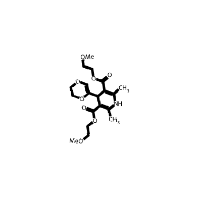 COCCOC(=O)C1=C(C)NC(C)=C(C(=O)OCCOC)C1C1=COCCO1